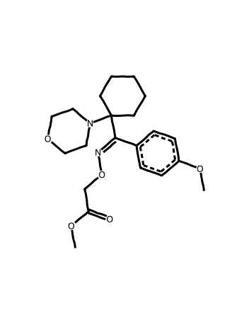 COC(=O)CON=C(c1ccc(OC)cc1)C1(N2CCOCC2)CCCCC1